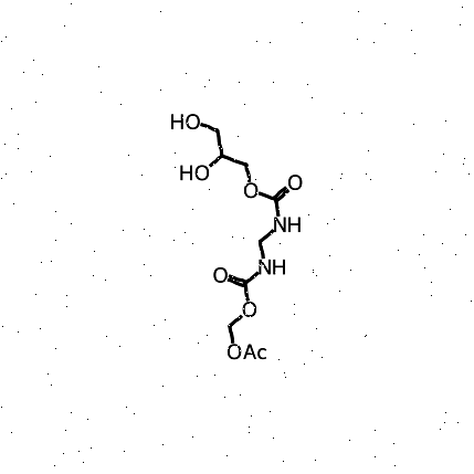 CC(=O)OCOC(=O)NCNC(=O)OCC(O)CO